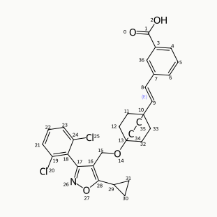 O=C(O)c1cccc(/C=C/C23CCC(OCc4c(-c5c(Cl)cccc5Cl)noc4C4CC4)(CC2)CC3)c1